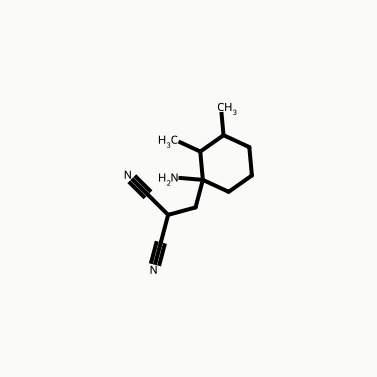 CC1CCCC(N)(CC(C#N)C#N)C1C